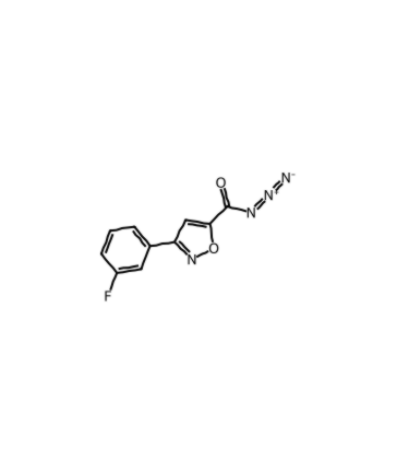 [N-]=[N+]=NC(=O)c1cc(-c2cccc(F)c2)no1